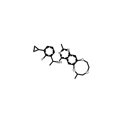 Cc1nc(NC(C)c2cccc(C3CC3)c2F)c2cc3c(cc2n1)OCCOCC(C)O3